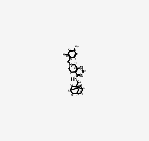 Fc1ccc(CN2CCc3c(ncnc3NCC34CC5CC(CC(C5)C3)C4)C2)c(F)c1